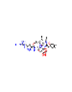 CC(C)[C@@H]([C]=O)N(C)C(=O)[C@@H](Cc1ccccc1)NC(=O)[C@@H](CC(=O)O)NC(=O)CNC(=O)[C@H](N)CCCNC(=N)N